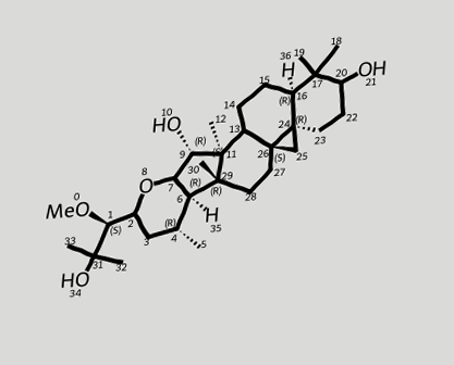 CO[C@@H](C1C[C@@H](C)[C@H]2C(O1)[C@H](O)[C@@]1(C)C3CC[C@H]4C(C)(C)C(O)CC[C@@]45C[C@@]35CC[C@]21C)C(C)(C)O